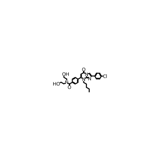 CCCCCn1c(-c2ccc(C(=O)N(CCO)CCO)cc2)cc(=O)n2cc(-c3ccc(Cl)cc3)nc12